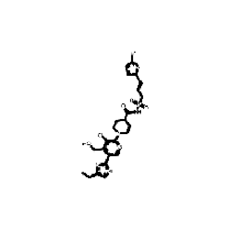 CCc1cnc(-c2cnc(N3CCC(C(=O)NS(=O)(=O)CC=Cc4ccc(Cl)s4)CC3)c(Cl)c2CO)o1